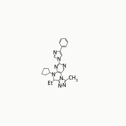 CCC1c2nnc(C)n2-c2cnc(-n3cnc(-c4ccccc4)c3)nc2N1C1CCCC1